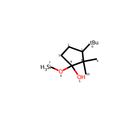 CC(C)(C)C1CCC(O)(O[SiH3])C1(C)C